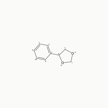 [c]1ccc(C2COCO2)cc1